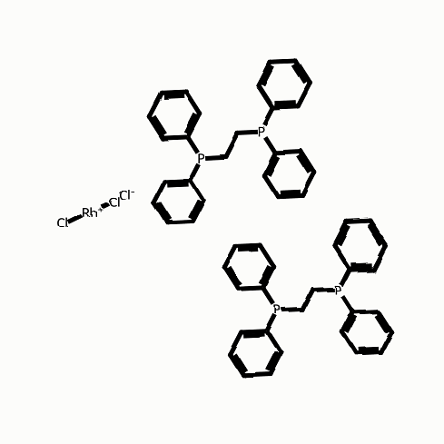 [Cl-].[Cl][Rh+][Cl].c1ccc(P(CCP(c2ccccc2)c2ccccc2)c2ccccc2)cc1.c1ccc(P(CCP(c2ccccc2)c2ccccc2)c2ccccc2)cc1